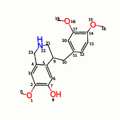 COc1cc2c(cc1O)C(Cc1ccc(OC)c(OC)c1)CNC2